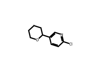 Clc1ccc(C2C[CH]CCO2)cn1